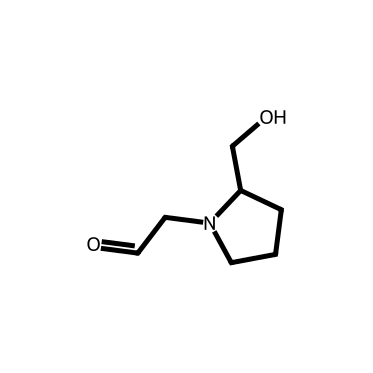 O=CCN1CCCC1CO